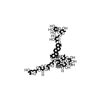 C=CC(C)(O)CC/C=C(\CO)C(=O)O[C@@H]1C(C)OC(O[C@](C)(C=C)CC/C=C(\CO)C(=O)O[C@H]2C[C@@]3(C(=O)O[C@@H]4OC(CO)[C@H]5OC5[C@@H]4O[C@@H]4OC(C)[C@H](O[C@@H]5O[C@@H](CO)C(O)[C@@H]5O)C(O[C@@H]5OC(CO)[C@@H](O)C(O)[C@@H]5O)[C@@H]4O)C(CC2(C)C)C2=CCC4[C@@]5(C)CC[C@H](OC6OC(CO[C@@H]7OC(C)[C@H](O)C(O)[C@@H]7O[C@@H]7OC[C@@H](O)C(O)[C@@H]7O)[C@@H](O)[C@H](O)C6C)C(C)(C)C5CC[C@@]4(C)[C@]2(C)C[C@H]3O)C(O)[C@H]1O